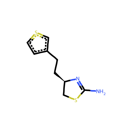 NC1=N[C@H](CCc2ccsc2)CS1